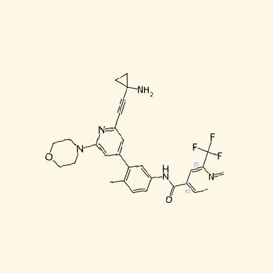 C=N/C(=C\C(=C/C)C(=O)Nc1ccc(C)c(-c2cc(C#CC3(N)CC3)nc(N3CCOCC3)c2)c1)C(F)(F)F